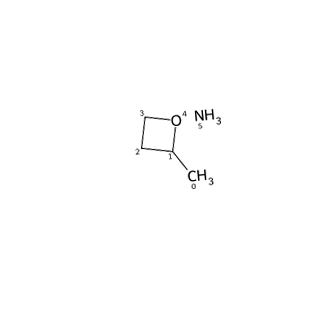 CC1CCO1.N